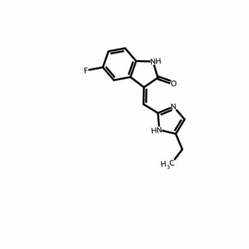 CCc1cnc(/C=C2\C(=O)Nc3ccc(F)cc32)[nH]1